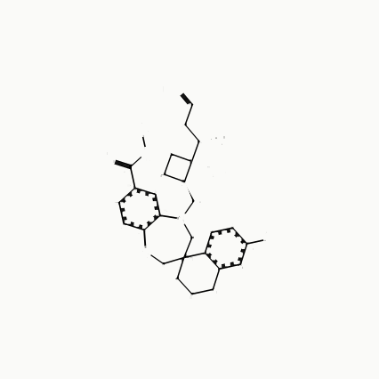 C=CC[C@H](O)[C@]1(C)CC[C@@H]1CN1CC2(CCCc3cc(Cl)ccc32)COc2ccc(C(=O)OC(C)(C)C)cc21